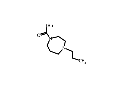 CC(C)(C)C(=O)N1CCCN(CCC(F)(F)F)CC1